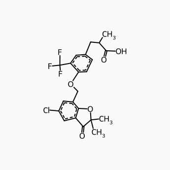 CC(Cc1ccc(OCc2cc(Cl)cc3c2OC(C)(C)C3=O)c(C(F)(F)F)c1)C(=O)O